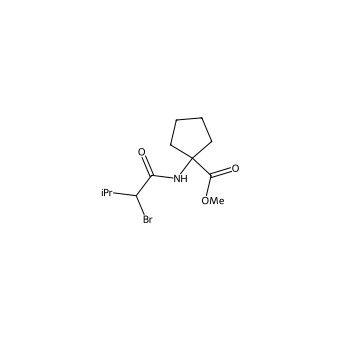 COC(=O)C1(NC(=O)C(Br)C(C)C)CCCC1